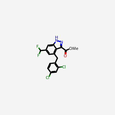 COC(=O)c1n[nH]c2cc(C(F)F)cc(Cc3ccc(Cl)cc3Cl)c12